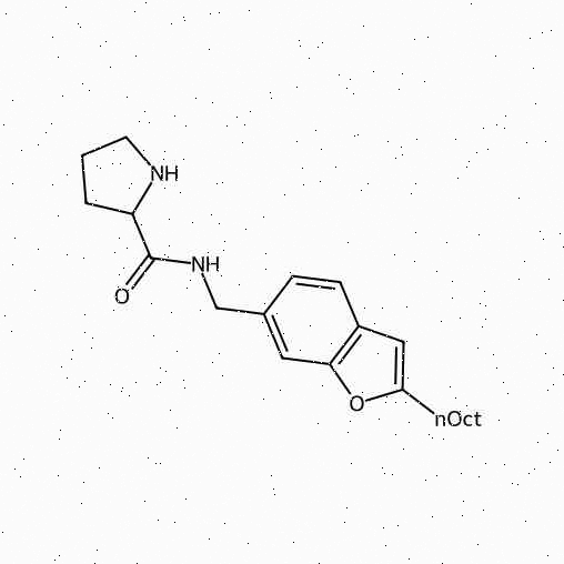 CCCCCCCCc1cc2ccc(CNC(=O)C3CCCN3)cc2o1